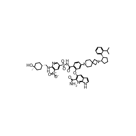 CC(C)c1ccccc1[C@H]1CCC[C@H]1N1CC2(CCN(c3ccc(C(=O)NS(=O)(=O)c4cnc(NC[C@H]5CC[C@](C)(O)CC5)c([N+](=O)[O-])c4)c(Oc4cc5cc[nH]c5nc4C(N)=O)c3)CC2)C1